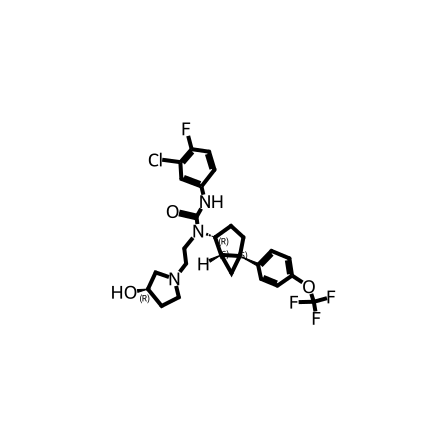 O=C(Nc1ccc(F)c(Cl)c1)N(CCN1CC[C@@H](O)C1)[C@@H]1CC[C@]2(c3ccc(OC(F)(F)F)cc3)C[C@H]12